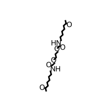 CC(=O)CCCCCCNC(=O)COCCCOC(=O)NCCCCCCC(C)=O